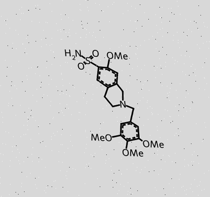 COc1cc2c(cc1S(N)(=O)=O)CCN(Cc1cc(OC)c(OC)c(OC)c1)C2